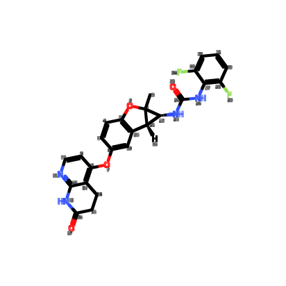 CC12Oc3ccc(Oc4ccnc5c4CCC(=O)N5)cc3[C@H]1[C@@H]2NC(=O)Nc1c(F)cccc1F